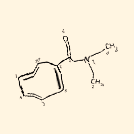 CN(C)C(=O)c1cc[c]cc1